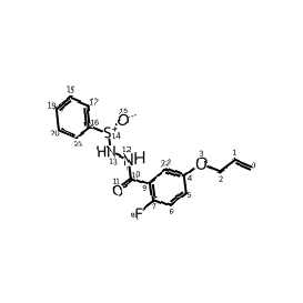 C=CCOc1ccc(F)c(C(=O)NN[S+]([O-])c2ccccc2)c1